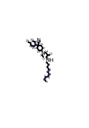 C\C=C/C=C\C=C\CCCNCC(C)CN(CC)C1CCC(C#N)(C(/C=C\CC)=C/C)CC1